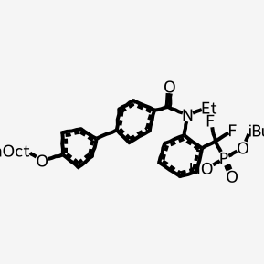 CCCCCCCCOc1ccc(-c2ccc(C(=O)N(CC)c3ccccc3C(F)(F)P(=O)(O)OC(C)CC)cc2)cc1